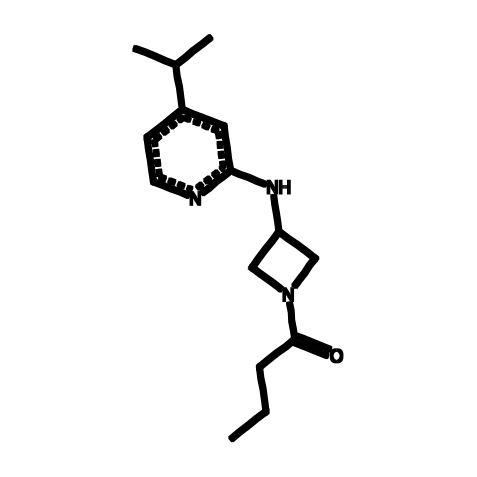 CCCC(=O)N1CC(Nc2cc(C(C)C)ccn2)C1